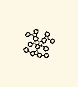 c1ccc(-c2ccc3c4ccc(-c5ccccc5)cc4n(-c4cc5c6c(c4)N(c4ccccc4)c4cc7c(cc4B6c4cc6c8ccccc8n(-c8ccccc8)c6cc4N5c4ccccc4)c4ccccc4n7-c4ccccc4)c3c2)cc1